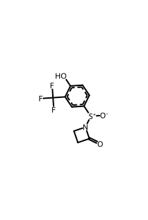 O=C1CCN1[S+]([O-])c1ccc(O)c(C(F)(F)F)c1